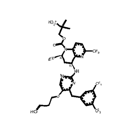 CC[C@@H]1C[C@H](Nc2ncc(OCCCO)c(Cc3cc(C(F)(F)F)cc(C(F)(F)F)c3)n2)c2nc(C(F)(F)F)ccc2N1C(=O)OCC(C)(C)C(=O)O